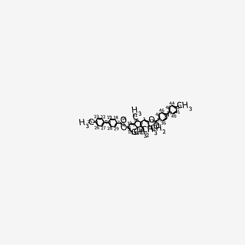 C=C/C(=C\C1=C(C)C(=C)/C(=C\C(=C/C)OC(=O)c2ccc(-c3ccc(C)cc3)cc2)C1C)OC(=O)c1ccc(-c2ccc(C)cc2)cc1